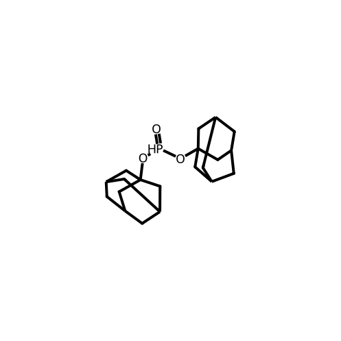 O=[PH](OC12CC3CC(CC(C3)C1)C2)OC12CC3CC(CC(C3)C1)C2